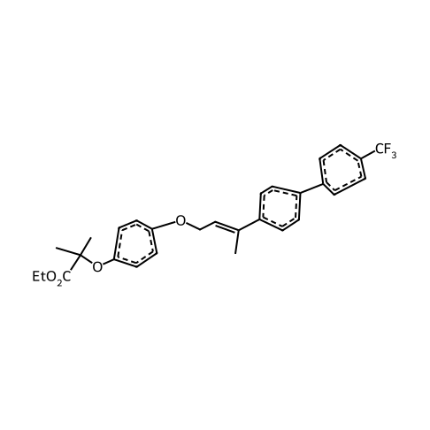 CCOC(=O)C(C)(C)Oc1ccc(OC/C=C(\C)c2ccc(-c3ccc(C(F)(F)F)cc3)cc2)cc1